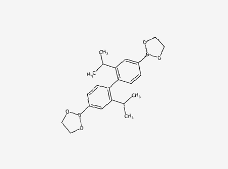 CC(C)c1cc(B2OCCO2)ccc1-c1ccc(B2OCCO2)cc1C(C)C